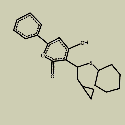 O=c1oc(-c2ccccc2)cc(O)c1C(CC1CC1)SC1CCCCC1